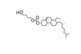 CC(C)CCC[C@@H](C)[C@H]1CCC2C3CC=C4C[C@@H](OC(=O)OCCCCO)CC[C@]4(C)C3CC[C@@]21C